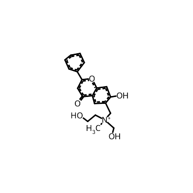 C[N+](CO)(CCO)Cc1cc2c(=O)cc(-c3ccccc3)oc2cc1O